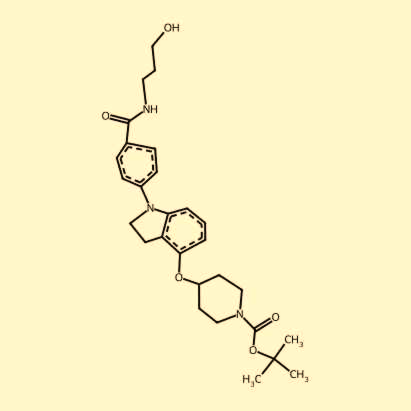 CC(C)(C)OC(=O)N1CCC(Oc2cccc3c2CCN3c2ccc(C(=O)NCCCO)cc2)CC1